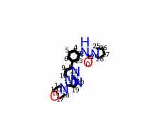 O=C(Nc1cccc(-c2ccn3c(N4CCOCC4)cnc3n2)c1)N1CCCC1